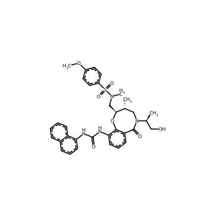 COc1ccc(S(=O)(=O)N(C)C[C@@H]2Oc3c(NC(=O)Nc4cccc5ccccc45)cccc3C(=O)N([C@@H](C)CO)C[C@H]2C)cc1